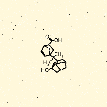 CC(C)(C12C=CC(C1)C(C(=O)O)C2)C12CC3CC(CC(O)(C3)C1)C2